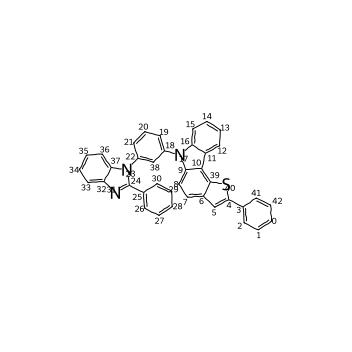 c1ccc(-c2cc3ccc4c(c5ccccc5n4-c4cccc(-n5c(-c6ccccc6)nc6ccccc65)c4)c3s2)cc1